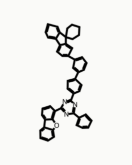 c1ccc(-c2nc(-c3ccc(-c4cccc(-c5ccc6c(c5)C5(CCCCC5)c5ccccc5-6)c4)cc3)nc(-c3cccc4c3oc3ccccc34)n2)cc1